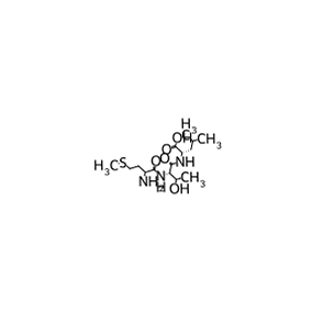 CSCC[C@H](N)C(=O)N[C@H](C(=O)N[C@@H](CC(C)C)C(=O)O)[C@@H](C)O